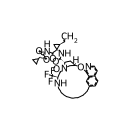 C=C[C@@H]1C[C@]1(NC(=O)[C@@H]1C[C@@H]2CN1C(=O)[C@H](C(F)(F)F)NCCCCCCCc1ccc3ccnc(c3c1)O2)C(=O)NS(=O)(=O)C1CC1